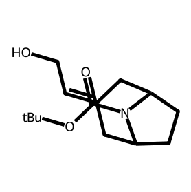 CC(C)(C)OC(=O)N1C2CCC1CC(=CCO)C2